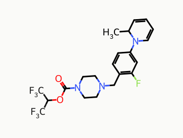 CC1C=CC=CN1c1ccc(CN2CCN(C(=O)OC(C(F)(F)F)C(F)(F)F)CC2)c(F)c1